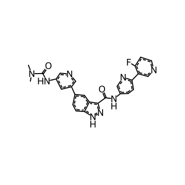 CN(C)C(=O)Nc1cncc(-c2ccc3[nH]nc(C(=O)Nc4ccc(-c5cnccc5F)nc4)c3c2)c1